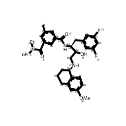 CCCN(CC)C(=O)c1cc(C)cc(C(=O)N[C@@H](Cc2cc(F)cc(F)c2)C(O)CN[C@@H]2CCCc3cc(OC)ccc32)c1